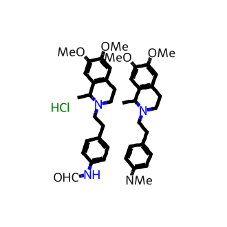 CNc1ccc(CCN2CCc3cc(OC)c(OC)cc3C2C)cc1.COc1cc2c(cc1OC)C(C)N(CCc1ccc(NC=O)cc1)CC2.Cl